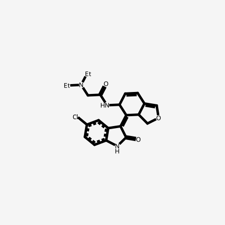 CCN(CC)CC(=O)NC1C=CC2=COCC2C1=C1C(=O)Nc2ccc(Cl)cc21